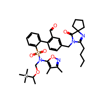 CCCCC1=NC2(CCCC2)C(=O)N1Cc1ccc(-c2ccccc2S(=O)(=O)N(COC(C)[Si](C)(C)C)c2onc(C)c2C)c(C=O)c1